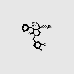 CCOC(=O)C(N)C1CCN(Cc2ccc(F)c(Cl)c2)C(=O)C1[S+]([O-])c1ccccc1